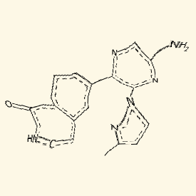 Cc1ccn(-c2nc(N)cnc2-c2ccc3c(=O)[nH]ccc3c2)n1